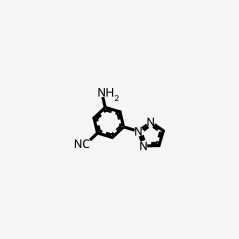 N#Cc1cc(N)cc(-n2nccn2)c1